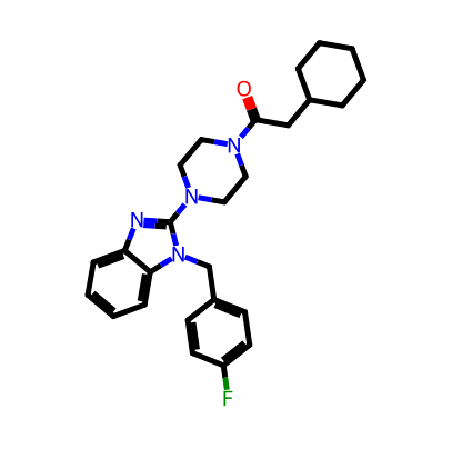 O=C(CC1CCCCC1)N1CCN(c2nc3ccccc3n2Cc2ccc(F)cc2)CC1